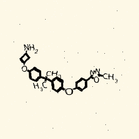 Cc1nnc(-c2ccc(Oc3ccc(C(C)(C)c4ccc(O[C@H]5C[C@H](N)C5)cc4)cc3)cc2)o1